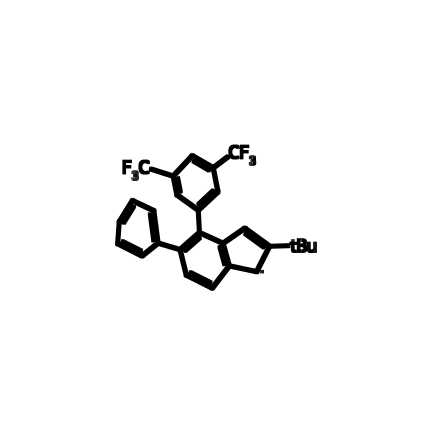 CC(C)(C)C1=Cc2c(ccc(-c3ccccc3)c2-c2cc(C(F)(F)F)cc(C(F)(F)F)c2)[CH]1